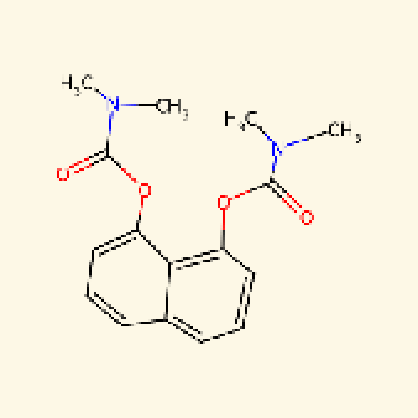 CN(C)C(=O)Oc1cccc2cccc(OC(=O)N(C)C)c12